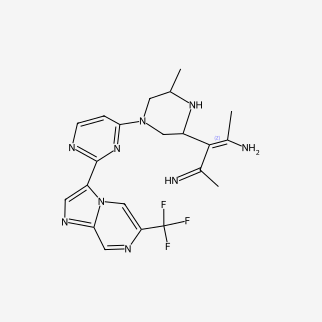 CC(=N)/C(=C(/C)N)C1CN(c2ccnc(-c3cnc4cnc(C(F)(F)F)cn34)n2)CC(C)N1